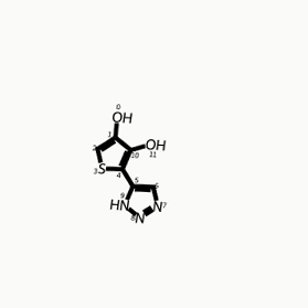 Oc1csc(-c2[c]nn[nH]2)c1O